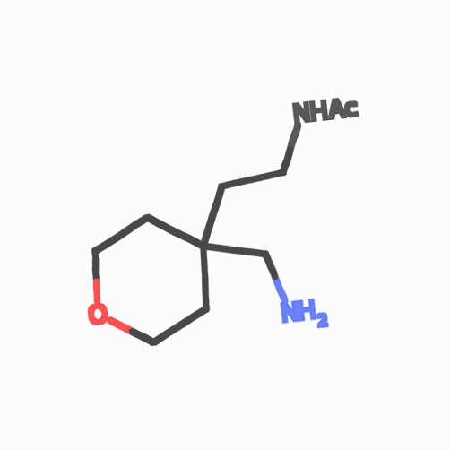 CC(=O)NCCC1(CN)CCOCC1